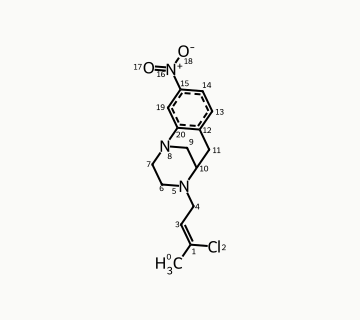 CC(Cl)=CCN1CCN2CC1Cc1ccc([N+](=O)[O-])cc12